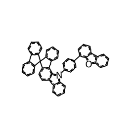 c1ccc2c(c1)-c1ccccc1C21c2ccccc2-c2c1ccc1c3ccccc3n(-c3ccc(-c4cccc5c4oc4ccccc45)cc3)c21